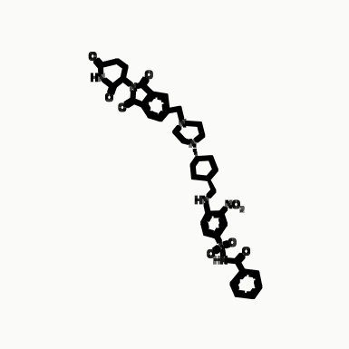 O=C1CCC(N2C(=O)c3ccc(CN4CCN([C@H]5CC[C@H](CNc6ccc(S(=O)(=O)NC(=O)c7ccccc7)cc6[N+](=O)[O-])CC5)CC4)cc3C2=O)C(=O)N1